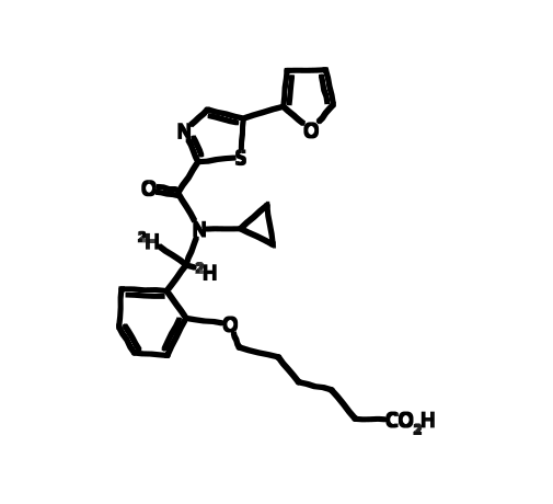 [2H]C([2H])(c1ccccc1OCCCCCC(=O)O)N(C(=O)c1ncc(-c2ccco2)s1)C1CC1